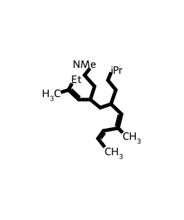 C/C=C\C(C)=C/C(CCC(C)C)CC(/C=C(/C)CC)CCNC